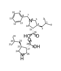 CC(C)C[C@@H]1CN(Cc2ccccc2)C[C@H]1C(=O)O.CC(C)C[C@@H]1CNC[C@H]1C(=O)O